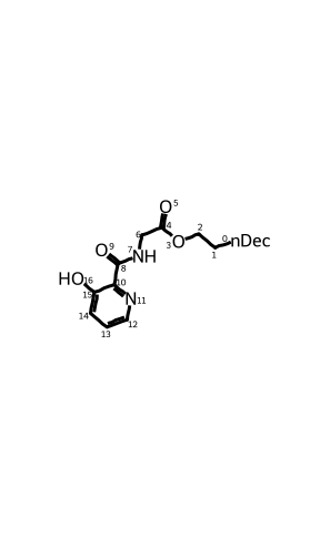 CCCCCCCCCCCCOC(=O)CNC(=O)c1ncccc1O